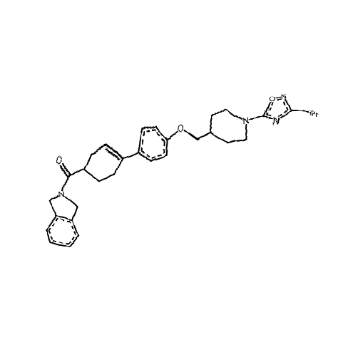 CC(C)c1noc(N2CCC(COc3ccc(C4=CCC(C(=O)N5Cc6ccccc6C5)CC4)cc3)CC2)n1